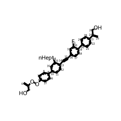 C=C(CO)OOc1ccc(-c2ccc(C#Cc3ccc(-c4ccc(C(=C)CO)cc4)c(F)c3)c(CCCCCCC)c2)cc1